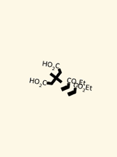 C=CC(=O)OCC.C=CC(=O)OCC.CC(C)(CC(=O)O)CC(=O)O